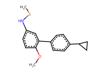 COc1ccc(NSC)cc1-c1ccc(C2CC2)cc1